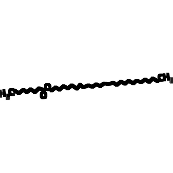 CCCCCCCCCCCCCCCCCCCCCCCCCCCCOC(=O)CCCCCCCC